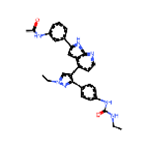 CCNC(=O)Nc1ccc(-c2nn(CC)cc2-c2ccnc3[nH]c(-c4cccc(NC(C)=O)c4)cc23)cc1